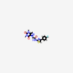 Cn1c(=O)c2c(cnn2CC(=O)Nc2nc(-c3ccc(F)cc3)cs2)n(C)c1=O